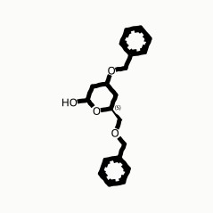 OC1CC(OCc2ccccc2)C[C@@H](COCc2ccccc2)O1